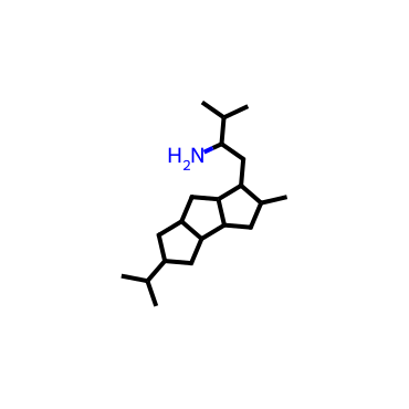 CC(C)C(N)CC1C(C)CC2C3CC(C(C)C)CC3CC12